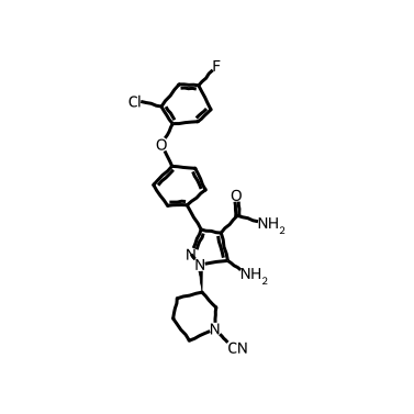 N#CN1CCC[C@@H](n2nc(-c3ccc(Oc4ccc(F)cc4Cl)cc3)c(C(N)=O)c2N)C1